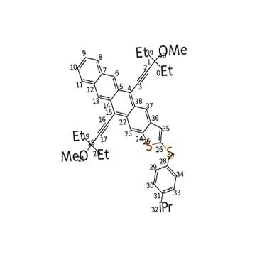 CCC(C#Cc1c2cc3ccccc3cc2c(C#CC(CC)(CC)OC)c2cc3sc(Sc4ccc(C(C)C)cc4)cc3cc12)(CC)OC